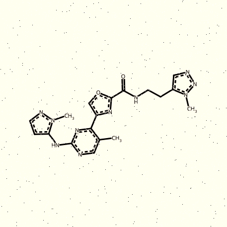 Cc1cnc(Nc2ccnn2C)nc1-c1coc(C(=O)NCCc2cnnn2C)n1